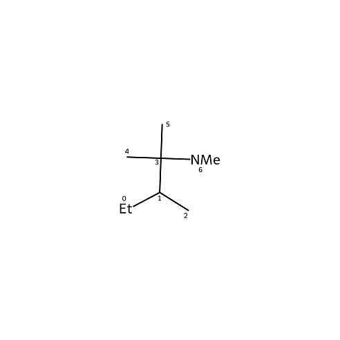 CCC(C)C(C)(C)NC